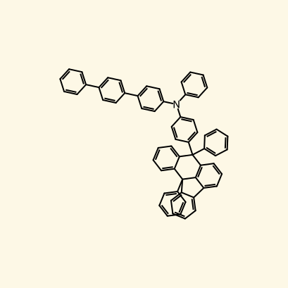 c1ccc(-c2ccc(-c3ccc(N(c4ccccc4)c4ccc(C5(c6ccccc6)c6ccccc6C6(c7ccccc7)c7ccccc7-c7cccc5c76)cc4)cc3)cc2)cc1